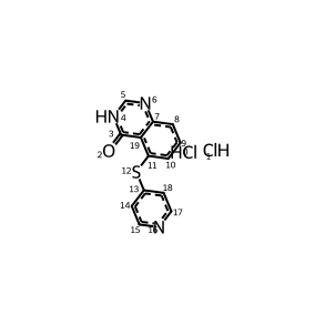 Cl.Cl.O=c1[nH]cnc2cccc(Sc3ccncc3)c12